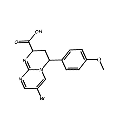 COc1ccc(C2CC(C(=O)O)N=C3N=CC(Br)=CN32)cc1